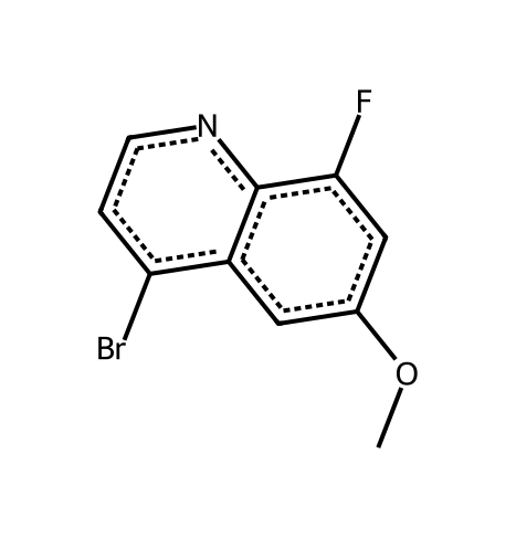 COc1cc(F)c2nccc(Br)c2c1